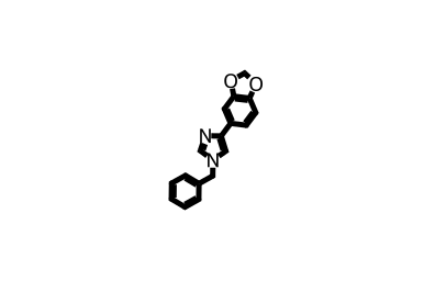 c1ccc(Cn2cnc(-c3ccc4c(c3)OCO4)c2)cc1